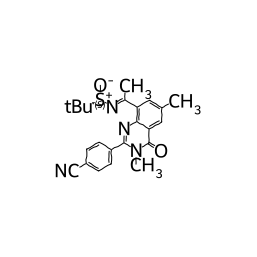 CC(=N[S@+]([O-])C(C)(C)C)c1cc(C)cc2c(=O)n(C)c(-c3ccc(C#N)cc3)nc12